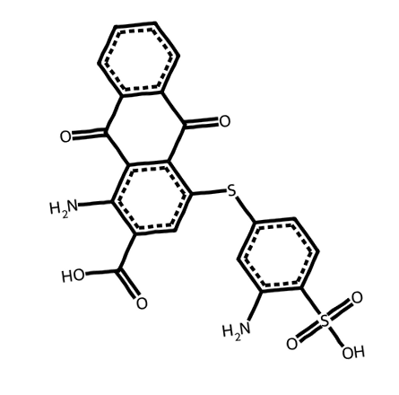 Nc1cc(Sc2cc(C(=O)O)c(N)c3c2C(=O)c2ccccc2C3=O)ccc1S(=O)(=O)O